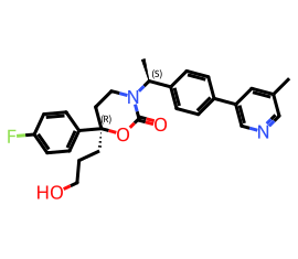 Cc1cncc(-c2ccc([C@H](C)N3CC[C@](CCCO)(c4ccc(F)cc4)OC3=O)cc2)c1